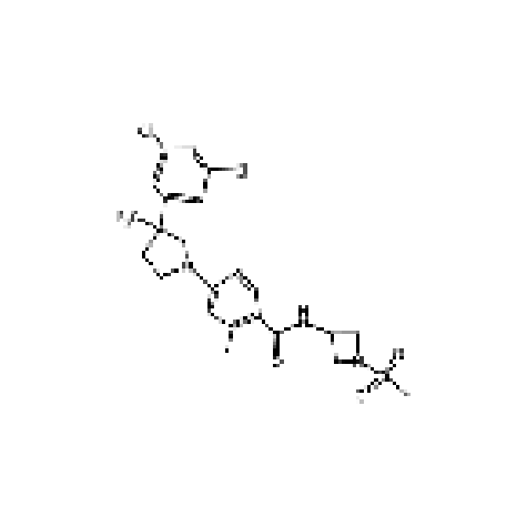 Cc1cc(N2CCC(c3cc(Cl)cc(Cl)c3)(C(F)(F)F)C2)ccc1C(=O)NC1CN(S(C)(=O)=O)C1